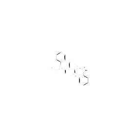 CCCn1c(=O)c(C2=Nc3ccccc3S(=O)(=O)N2)c(O)c2ccccc21